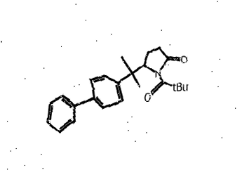 CC(C)(C)C(=O)N1C(=O)CCC1C(C)(C)c1ccc(-c2ccccc2)cc1